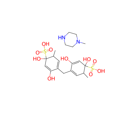 CC1C=C(CC2=CC(C)C(O)(S(=O)(=O)O)C=C2O)C(O)=CC1(O)S(=O)(=O)O.CN1CCNCC1